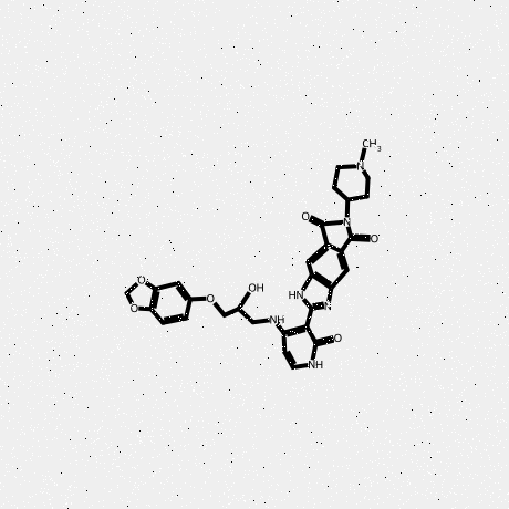 CN1CCC(N2C(=O)c3cc4nc(-c5c(NCC(O)COc6ccc7c(c6)OCO7)cc[nH]c5=O)[nH]c4cc3C2=O)CC1